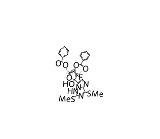 CSC1=NC(SC)Nn2c(C3(O)O[C@H](COC(=O)c4ccccc4)[C@@H](OC(=O)c4ccccc4)[C@@]3(C)F)cnc21